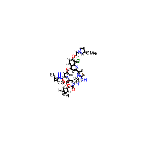 CC[C@@H]1CC1(NC(=O)[C@@H]1C[C@@H](Oc2cc(C3CSC(NC(C)C)=N3)nc3c(Cl)c(OCCN4CC[C@@H](OC)C4)ccc23)CN1C(=O)[C@@H](NC(=O)O[C@@H]1C[C@@H]2C[C@@H]2C1)C(C)(C)C)C(=O)O